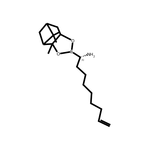 C=CCCCCCC[C@@H](N)B1OC2CC3CC(C3(C)C)C2(C)O1